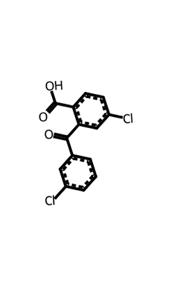 O=C(O)c1ccc(Cl)cc1C(=O)c1cccc(Cl)c1